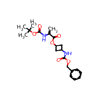 C=C(NC(=O)OC(C)(C)C)C(=O)OC1CC(NC(=O)OCc2ccccc2)C1